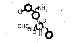 NC[C@]1(c2cccc(Cl)c2)CC[C@@H](N2CC(=O)N[C@@H](Cc3ccccc3)C2=O)CC1.O=CO